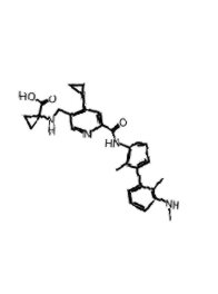 CNc1cccc(-c2cccc(NC(=O)c3cc(C4CC4)c(CNC4(C(=O)O)CC4)cn3)c2C)c1C